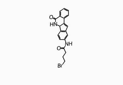 O=C(CCCBr)Nc1ccc2c(c1)C=C1c3ccccc3C(=O)NC12